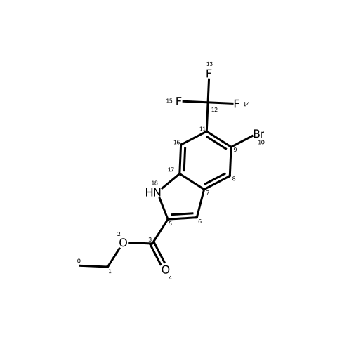 CCOC(=O)c1cc2cc(Br)c(C(F)(F)F)cc2[nH]1